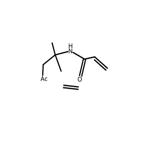 C=C.C=CC(=O)NC(C)(C)CC(C)=O